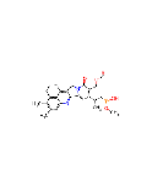 COP(O)CC(C)c1cc2n(c(=O)c1COC=O)Cc1c-2nc2cc(C)c(C)c3c2c1CCC3